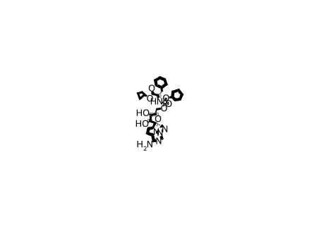 N#C[C@@]1(c2ccc3c(N)ncnn23)O[C@H](COP(=O)(N[C@@H](Cc2ccccc2)C(=O)OC2CCC2)Oc2ccccc2)[C@@H](O)[C@H]1O